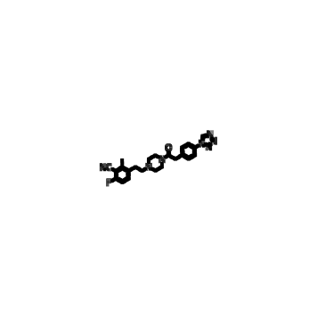 Cc1c(CCN2CCN(C(=O)Cc3ccc(-n4cnnn4)cc3)CC2)ccc(F)c1C#N